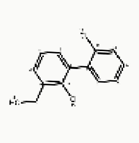 OCc1cccc(-c2ccccc2Cl)c1Cl